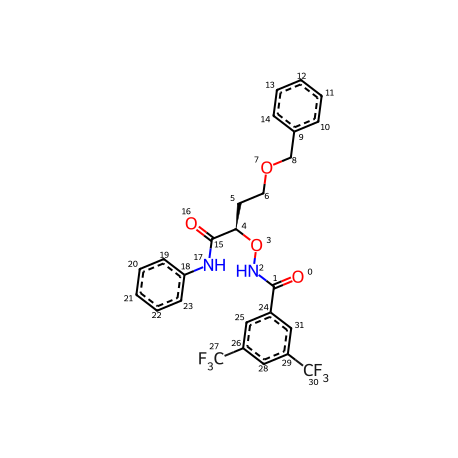 O=C(NO[C@H](CCOCc1ccccc1)C(=O)Nc1ccccc1)c1cc(C(F)(F)F)cc(C(F)(F)F)c1